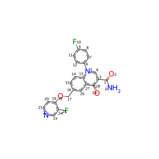 NC(=O)c1cn(-c2ccc(F)cc2)c2ccc(COc3ccncc3F)cc2c1=O